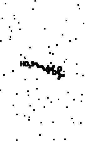 C=C(C)C(=O)OC(C)[N+](C)(C)CCCCS(=O)(=O)O